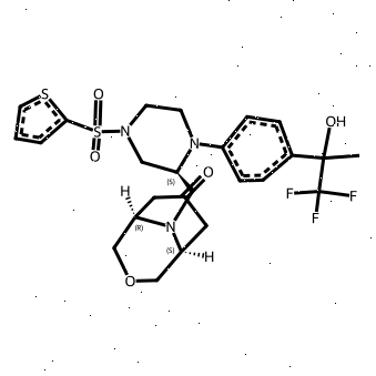 CC(O)(c1ccc(N2CCN(S(=O)(=O)c3cccs3)C[C@@H]2CN2[C@@H]3COC[C@H]2CC(=O)C3)cc1)C(F)(F)F